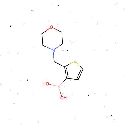 OB(O)c1ccsc1CN1CCOCC1